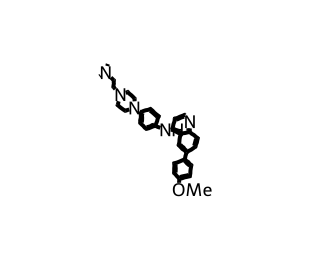 COc1ccc(-c2ccc3nccc(Nc4ccc(N5CCN(CCN(C)C)CC5)cc4)c3c2)cc1